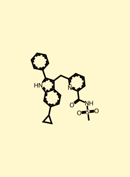 CS(=O)(=O)NC(=O)c1cccc(Cc2c(-c3ccccc3)[nH]c3cc(C4CC4)ccc23)n1